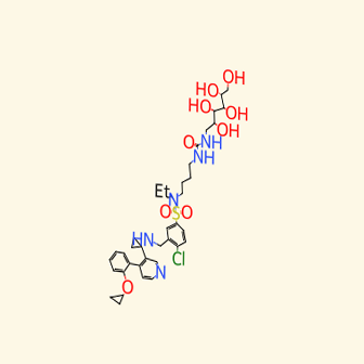 CCN(CCCCNC(=O)NC[C@H](O)[C@@H](O)[C@H](O)[C@H](O)CO)S(=O)(=O)c1ccc(Cl)c(CNC2(c3cnccc3-c3ccccc3OC3CC3)CC2)c1